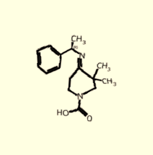 C[C@@H](N=C1CCN(C(=O)O)CC1(C)C)c1ccccc1